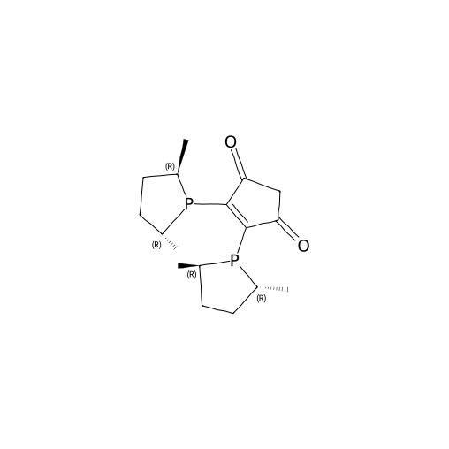 C[C@@H]1CC[C@@H](C)P1C1=C(P2[C@H](C)CC[C@H]2C)C(=O)CC1=O